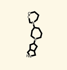 C1COCCN(C2CCCN(C3CC4CNCC4C3)CC2)C1